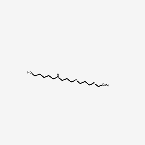 COCOCCCOCCCNCCCCCO